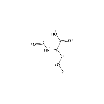 COCC(NC=O)C(=O)O